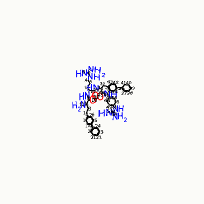 N=C(N)NCCC[C@H](NC(=O)[C@@H](N)CCc1ccc(-c2ccccc2)cc1)C(=O)N[C@@H](Cc1ccc(-c2ccccc2)cc1)C(=O)N[C@H]1CC[C@H](NC(=N)N)CC1